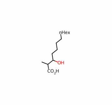 CCCCCCCCCCC(O)C(C)C(=O)O